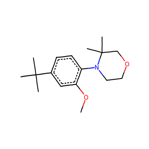 COc1cc(C(C)(C)C)ccc1N1CCOCC1(C)C